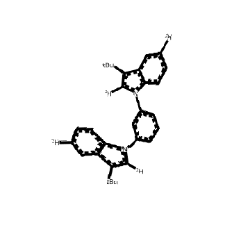 [2H]c1ccc2c(c1)c(C(C)(C)C)c([2H])n2-c1cccc(-n2c([2H])c(C(C)(C)C)c3cc([2H])ccc32)c1